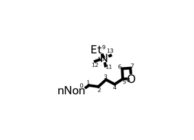 CCCCCCCCCCCCCC1CCO1.CC[N+](C)(C)C